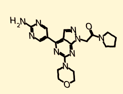 Nc1ncc(-c2nc(N3CCOCC3)nc3c2cnn3CC(=O)N2CCCC2)cn1